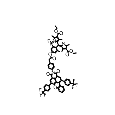 CCOC(=O)C1=C(C)/C(=C(\c2c(C)cc(OC(=O)Cc3ccc(-n4c(=O)c5cc(-c6ccc(C(F)(F)F)cc6)c6oc7ccccc7c7c(-c8ccc(C(F)(F)F)cc8)cc(c4=O)c5c67)cc3)cc2C)c2c(C)c(C(=O)OCC)c(C)n2B(F)F)N=C1C